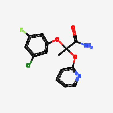 CC(Oc1cc(F)cc(Cl)c1)(Oc1ccccn1)C(N)=O